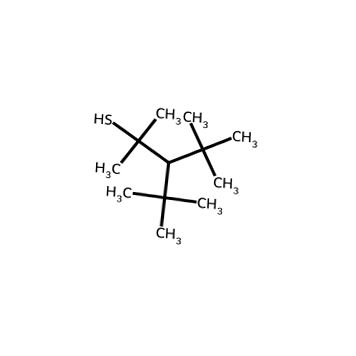 CC(C)(C)C(C(C)(C)C)C(C)(C)S